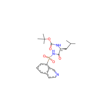 CC(C)C[C@H](NC(=O)OC(C)(C)C)C(=O)NS(=O)(=O)c1cccc2ccncc12